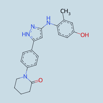 Cc1cc(O)ccc1Nc1cc(-c2ccc(N3CCCCC3=O)cc2)[nH]n1